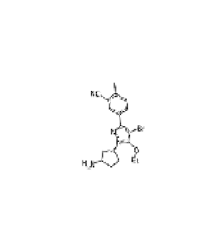 CCOc1c(Br)c(-c2ccc(C)c(C#N)c2)nn1C1CCC(N)C1